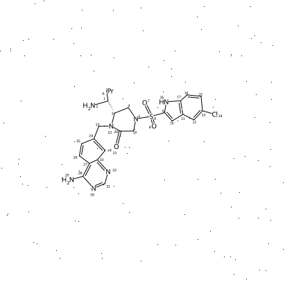 CC(C)C(N)[C@@H]1CN(S(=O)(=O)c2cc3cc(Cl)ccc3[nH]2)CC(=O)N1Cc1ccc2c(N)ncnc2c1